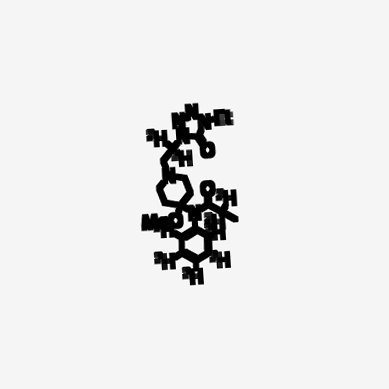 [2H]c1c([2H])c([2H])c(N(C(=O)C([2H])([2H])C)C2(OC)CCN(CC([2H])([2H])n3nnn(CC)c3=O)CC2)c([2H])c1[2H]